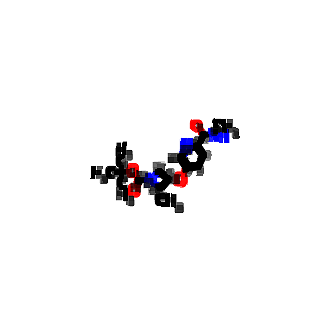 CNC(=O)c1ccc(O[C@H]2CN(C(=O)OC(C)(C)C)[C@H]2C)cn1